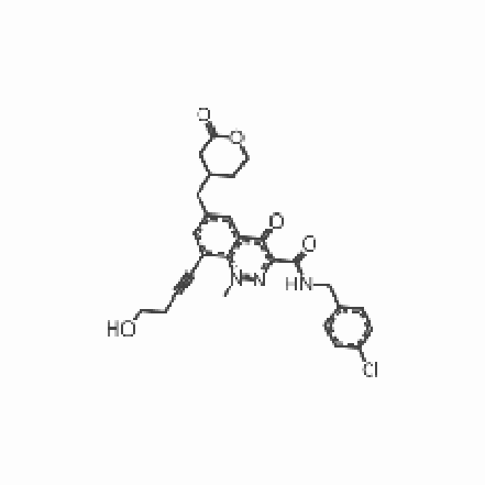 Cn1nc(C(=O)NCc2ccc(Cl)cc2)c(=O)c2cc(CC3CCOC(=O)C3)cc(C#CCCO)c21